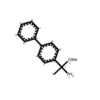 COC(C)(P)c1ccc(-c2ccccc2)cc1